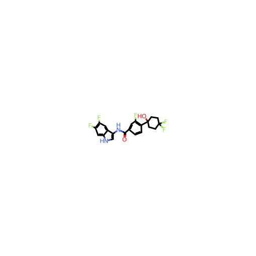 O=C(Nc1c[nH]c2cc(F)c(F)cc12)c1ccc(C2(O)CCC(F)(F)CC2)c(F)c1